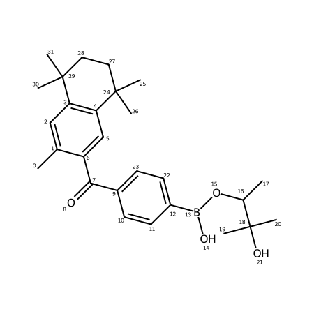 Cc1cc2c(cc1C(=O)c1ccc(B(O)OC(C)C(C)(C)O)cc1)C(C)(C)CCC2(C)C